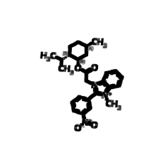 CC(C)[C@@H]1CC[C@@H](C)C[C@H]1OC(=O)Cn1c(-c2cccc([N+](=O)[O-])c2)[n+](C)c2ccccc21